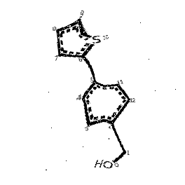 OCc1ccc(-c2cccs2)cc1